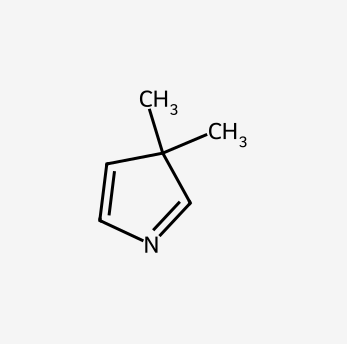 CC1(C)C=CN=C1